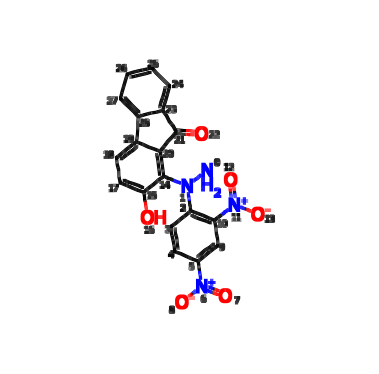 NN(c1ccc([N+](=O)[O-])cc1[N+](=O)[O-])c1c(O)ccc2c1C(=O)c1ccccc1-2